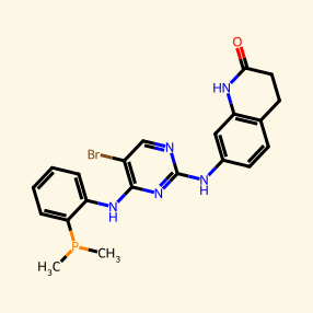 CP(C)c1ccccc1Nc1nc(Nc2ccc3c(c2)NC(=O)CC3)ncc1Br